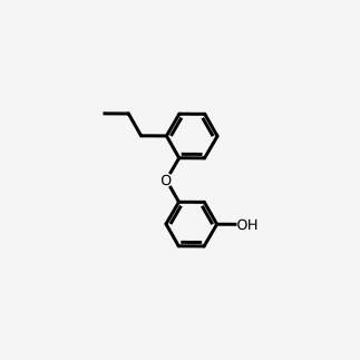 CCCc1ccccc1Oc1cccc(O)c1